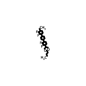 C=CCCC1OCC(c2ccc(-c3ccc(-c4ccc(CC)c(F)c4F)cc3)c(F)c2F)CO1